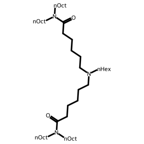 CCCCCCCCN(CCCCCCCC)C(=O)CCCCCN(CCCCCC)CCCCCC(=O)N(CCCCCCCC)CCCCCCCC